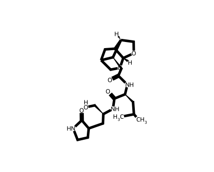 CC(C)C[C@H](NC(=O)C[C@H]1C2CO[C@H]3OC[C@@H]1C3C2)C(=O)N[C@H](CO)CC1CCNC1=O